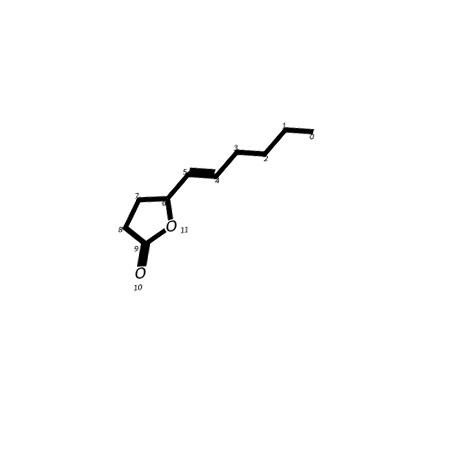 CCCCC=CC1CCC(=O)O1